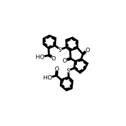 O=C(O)c1ccccc1Sc1cccc2c1C(=O)c1c(Sc3ccccc3C(=O)O)cccc1C2=O